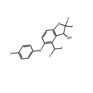 OC1c2c(ccc(Oc3ccc(F)cc3)c2C(F)F)SC1(F)F